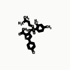 Cc1ccc(P(=O)(Nc2cc(-c3ccc(Cl)cc3)sc2C(=O)O)OCCC(C)C)c(C)c1